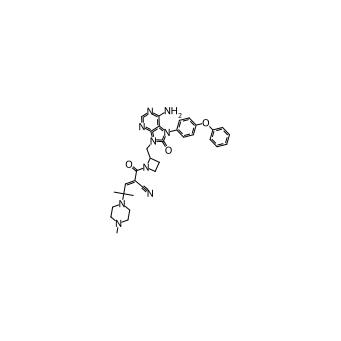 CN1CCN(C(C)(C)C=C(C#N)C(=O)N2CCC2Cn2c(=O)n(-c3ccc(Oc4ccccc4)cc3)c3c(N)ncnc32)CC1